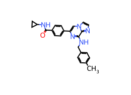 Cc1ccc(CNc2nc(-c3ccc(C(=O)NC4CC4)cc3)cn3ccnc23)cc1